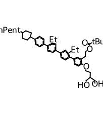 CCCCCC1CCC(c2ccc(-c3ccc(-c4ccc(-c5ccc(OCCC(CO)CO)c(CCOC(=O)C(C)(C)C)c5)c(CC)c4)cc3CC)cc2)CC1